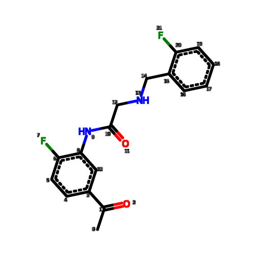 CC(=O)c1ccc(F)c(NC(=O)CNCc2ccccc2F)c1